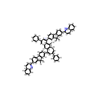 C=C(/C=C(/c1ccc2c(c1)C(C)(C)c1cc(-c3ccc4ccccc4n3)ccc1-2)c1ccc2c(c1C)CC=C(c1ccccc1)C=C2c1ccc2c(c1)C(C)(C)c1cc(-c3ccc4ccccc4n3)ccc1-2)c1ccccc1